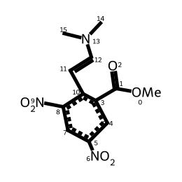 COC(=O)c1cc([N+](=O)[O-])cc([N+](=O)[O-])c1C=CN(C)C